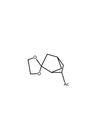 CC(=O)C1CC2CC1C1(C2)OCCO1